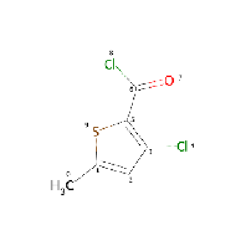 Cc1cc(Cl)c(C(=O)Cl)s1